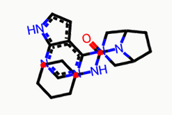 O=C(NC1CCCCC1)N1C2CCC1CN(c1ncnc3[nH]ccc13)C2